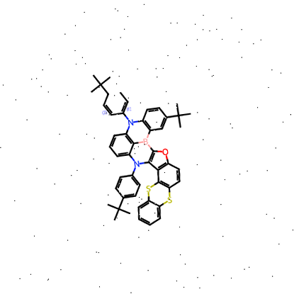 C/C=C(\C=C/CC(C)(C)C)N1c2ccc(C(C)(C)C)cc2B2c3oc4ccc5c(c4c3N(c3ccc(C(C)(C)C)cc3)c3cccc1c32)Sc1ccccc1S5